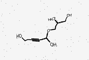 OCC#CC(O)OCC(O)CO